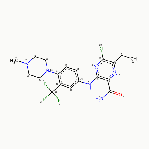 CCc1nc(C(N)=O)c(Nc2ccc(N3CCN(C)CC3)c(C(F)(F)F)c2)nc1Cl